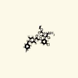 CCOC(=O)NC(=O)N(C(=O)CN)c1cc(Cl)ccc1OCC(=O)N1CC(C)N(Cc2ccc(F)cc2)CC1C